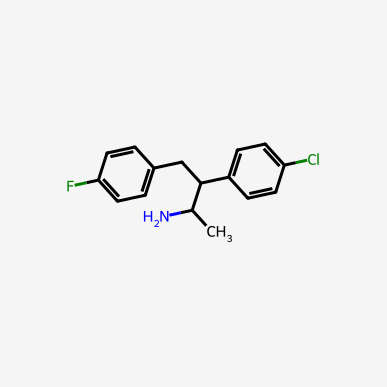 CC(N)C(Cc1ccc(F)cc1)c1ccc(Cl)cc1